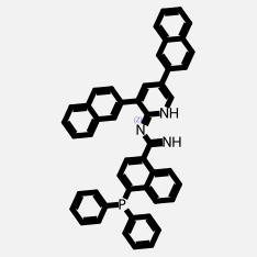 N=C(/N=c1\[nH]cc(-c2ccc3ccccc3c2)cc1-c1ccc2ccccc2c1)c1ccc(P(c2ccccc2)c2ccccc2)c2ccccc12